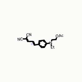 CCN(CCOC(C)=O)c1ccc(/C=C/C=C(C#N)C#N)cc1